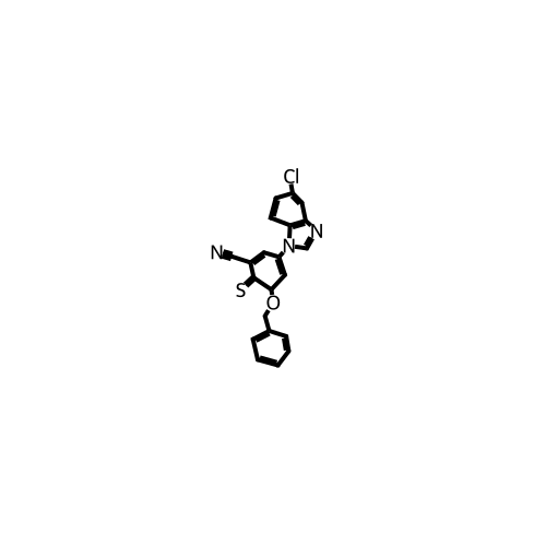 N#CC1=CC(n2cnc3cc(Cl)ccc32)=CC(OCc2ccccc2)C1=S